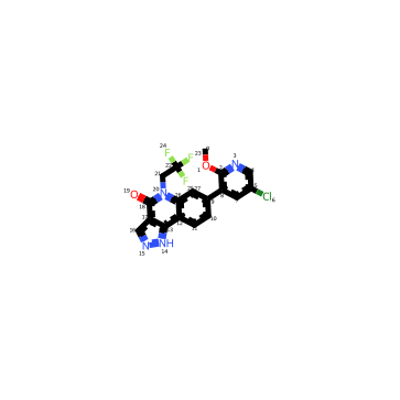 COc1ncc(Cl)cc1-c1ccc2c3[nH]ncc3c(=O)n(CC(F)(F)F)c2c1